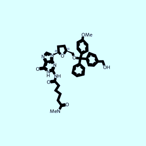 CNC(=O)CCCCC(=O)Nc1nc2c(ncn2[C@H]2CC[C@@H](COC(c3ccccc3)(c3ccc(CO)cc3)c3ccc(OC)cc3)O2)c(=O)[nH]1